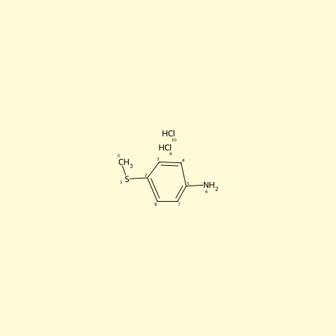 CSc1ccc(N)cc1.Cl.Cl